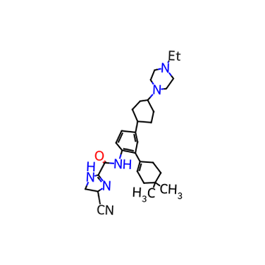 CCN1CCN(C2CCC(c3ccc(NC(=O)C4=NC(C#N)CN4)c(C4=CCC(C)(C)CC4)c3)CC2)CC1